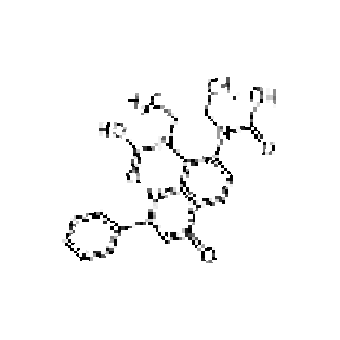 CCN(C(=O)O)c1ccc2c(=O)cc(-c3ccccc3)oc2c1N(CC)C(=O)O